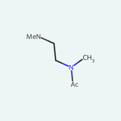 CNCCN(C)C(C)=O